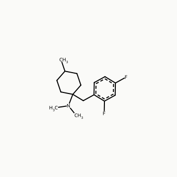 CC1CCC(Cc2ccc(F)cc2F)(N(C)C)CC1